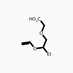 C=COC(CC)COCC(=O)O